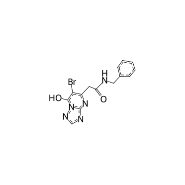 O=C(Cc1nc2ncnn2c(O)c1Br)NCc1ccccc1